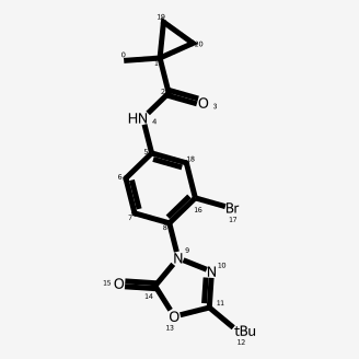 CC1(C(=O)Nc2ccc(-n3nc(C(C)(C)C)oc3=O)c(Br)c2)CC1